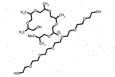 COC(C)COC(C)COC(C)COC(C)COC(C)COC(C)CO.OCCOCCOCCOCCOCCOCCOCCO